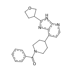 O=C(c1ccccc1)N1CCC(c2ccnc3[nH]c(C4CCOC4)nc23)CC1